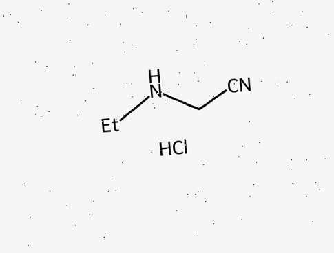 CCNCC#N.Cl